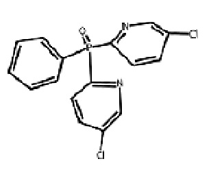 O=P(c1ccccc1)(c1ccc(Cl)cn1)c1ccc(Cl)cn1